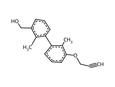 C#CCOc1cccc(-c2cccc(CO)c2C)c1C